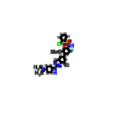 CCc1cc(-c2cc(F)c(NS(=O)(=O)c3ccccc3Cl)cc2OC)cc2cnc(N[C@H]3CC[C@H](N(C)C)CC3)nc12